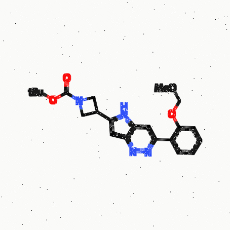 COCOc1ccccc1-c1cc2[nH]c(C3CN(C(=O)OC(C)(C)C)C3)cc2nn1